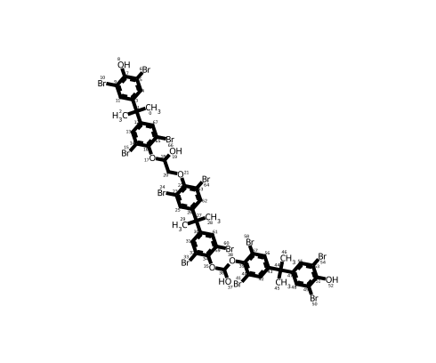 CC(C)(c1cc(Br)c(O)c(Br)c1)c1cc(Br)c(OC(O)COc2c(Br)cc(C(C)(C)c3cc(Br)c(OC(O)Oc4c(Br)cc(C(C)(C)c5cc(Br)c(O)c(Br)c5)cc4Br)c(Br)c3)cc2Br)c(Br)c1